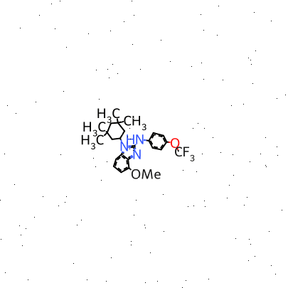 COc1cccc2c1nc(Nc1ccc(OC(F)(F)F)cc1)n2C1CC(C)(C)CC(C)(C)C1